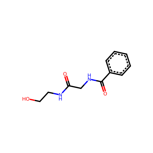 O=C(CNC(=O)c1ccccc1)NCCO